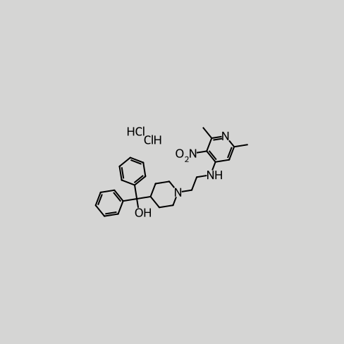 Cc1cc(NCCN2CCC(C(O)(c3ccccc3)c3ccccc3)CC2)c([N+](=O)[O-])c(C)n1.Cl.Cl